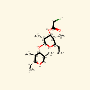 CC(=O)OC[C@H]1O[C@@H](O[C@H]2[C@H](OC(C)=O)[C@@H](COC(C)=O)O[CH][C@@H]2OC(C)=O)[C@H](OC(C)=O)[C@@H](OC(=O)CCl)[C@@H]1OC(C)=O